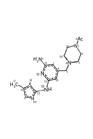 CC(=O)N1CCN(Cc2cc(N)nc(Nc3ncc(C)s3)c2)CC1